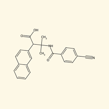 CC(C)(NC(=O)c1ccc(C#N)cc1)C(C(=O)O)c1ccc2ccccc2c1